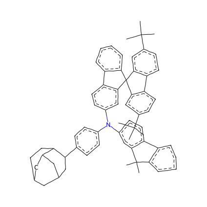 CC(C)(C)c1ccc2c(c1)C1(c3ccccc3-c3ccc(N(c4ccc(C5CC6CC7CCC5C(C7)C6)cc4)c4ccc5c(c4)C(C)(C)c4ccccc4-5)cc31)c1cc(C(C)(C)C)ccc1-2